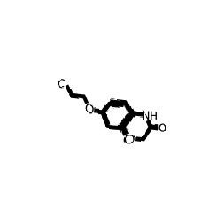 O=C1COc2cc(OCCCl)ccc2N1